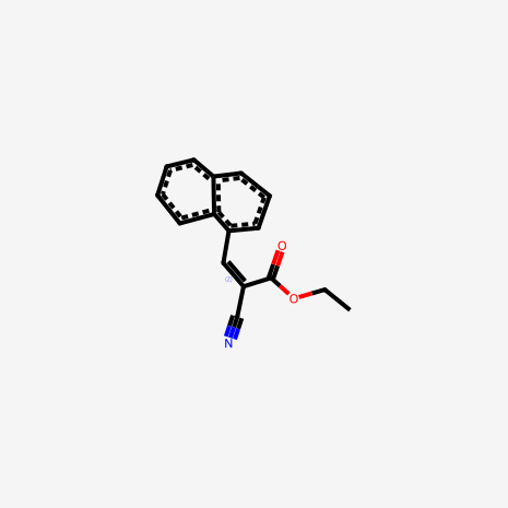 CCOC(=O)/C(C#N)=C\c1cccc2ccccc12